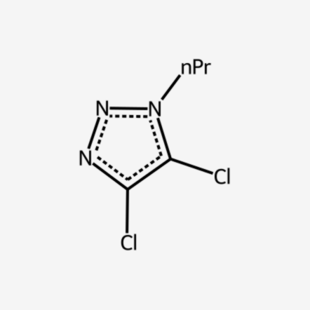 CCCn1nnc(Cl)c1Cl